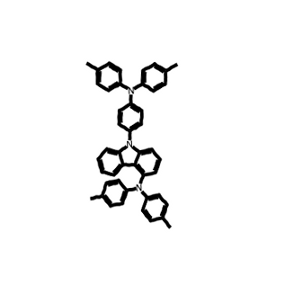 Cc1ccc(N(c2ccc(C)cc2)c2ccc(-n3c4ccccc4c4c(N(c5ccc(C)cc5)c5ccc(C)cc5)cccc43)cc2)cc1